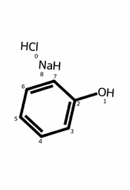 Cl.Oc1ccccc1.[NaH]